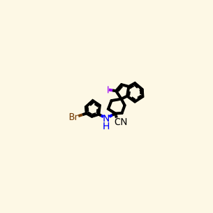 N#CC1(Nc2cccc(Br)c2)CCC2(CC1)C(I)=Cc1ccccc12